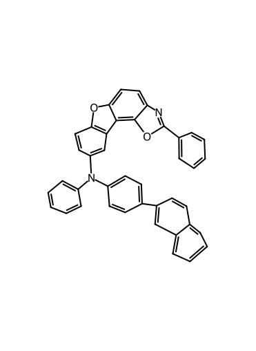 c1ccc(-c2nc3ccc4oc5ccc(N(c6ccccc6)c6ccc(-c7ccc8ccccc8c7)cc6)cc5c4c3o2)cc1